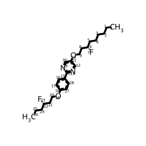 CCCCCC[C@H](F)CCOc1cnc(-c2ccc(OCC[C@@H](F)CCC)cc2)nc1